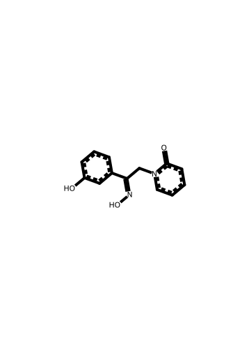 O=c1ccccn1CC(=NO)c1cccc(O)c1